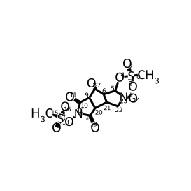 CS(=O)(=O)OC1C2C(=O)C3C(=O)N(OS(C)(=O)=O)C(=O)C3C2C[N+]1=O